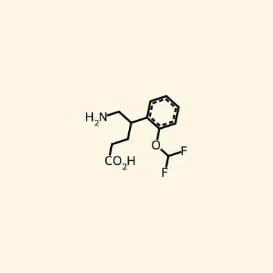 NCC(CCC(=O)O)c1ccccc1OC(F)F